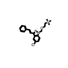 C[Si](C)(C)CCOCn1nc(/C=C/c2ccccc2)c2cc(Cl)ccc21